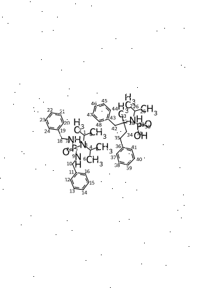 CC(C)N(C(C)C)P(=O)(NCc1ccccc1)NCc1ccccc1.CC(C)N([PH](=O)O)C(C)(CCc1ccccc1)Cc1ccccc1